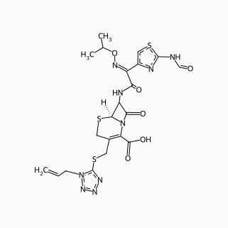 C=CCn1nnnc1SCC1=C(C(=O)O)N2C(=O)C(NC(=O)C(=NOC(C)C)c3csc(NC=O)n3)[C@@H]2SC1